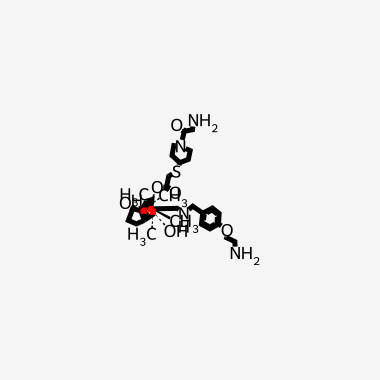 C[C@@H]1CC[C@@]23CCC(=O)[C@H]2[C@]1(C)[C@H](OC(=O)CSC1CCN(C(=O)CN)CC1)C[C@](C)(CNCc1ccc(OCCN)cc1)[C@@H](O)[C@@H]3C